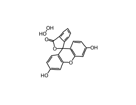 O=C1OC2(c3ccc(O)cc3Oc3cc(O)ccc32)c2ccccc21.OO